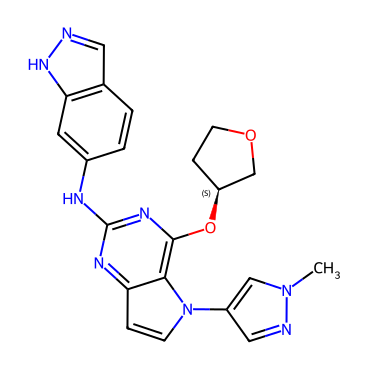 Cn1cc(-n2ccc3nc(Nc4ccc5cn[nH]c5c4)nc(O[C@H]4CCOC4)c32)cn1